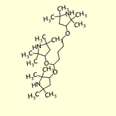 CC1(C)CC(OCCCCC(OC2CC(C)(C)NC2(C)C)OC2CC(C)(C)NC2(C)C)C(C)(C)N1